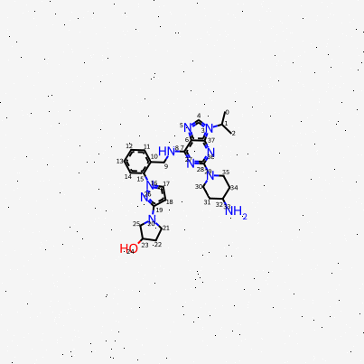 CC(C)n1cnc2c(NCc3ccccc3-n3ccc(N4CCC(O)C4)n3)nc(N3CCC(N)CC3)nc21